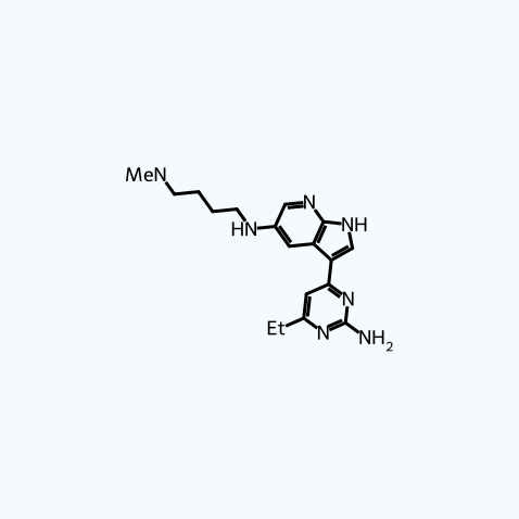 CCc1cc(-c2c[nH]c3ncc(NCCCCNC)cc23)nc(N)n1